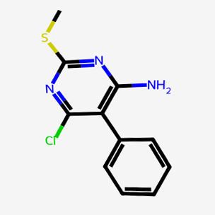 CSc1nc(N)c(-c2ccccc2)c(Cl)n1